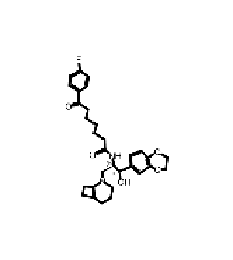 O=C(CCCCCC(=O)c1ccc(F)cc1)N[C@H](CN1CCCC2CCC21)[C@H](O)c1ccc2c(c1)OCCO2